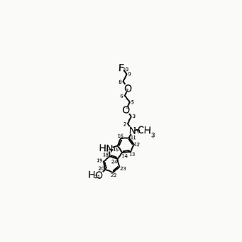 CN(CCOCCOCCF)c1ccc2c(c1)[nH]c1cc(O)ccc12